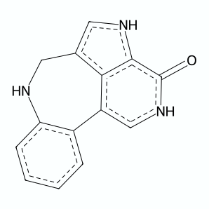 O=c1[nH]cc2c3c(c[nH]c13)CNc1ccccc1-2